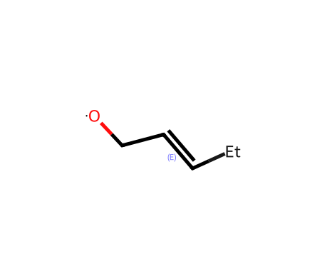 CC/C=C/C[O]